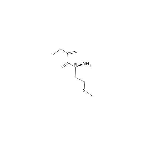 C=C(CC)C(=C)[C@@H](N)CCSC